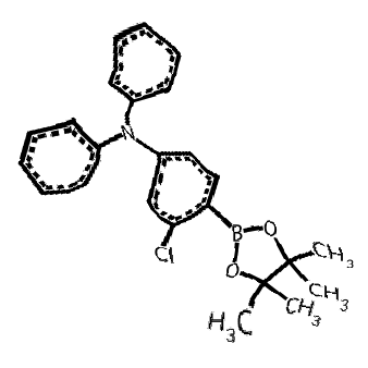 CC1(C)OB(c2ccc(N(c3ccccc3)c3ccccc3)cc2Cl)OC1(C)C